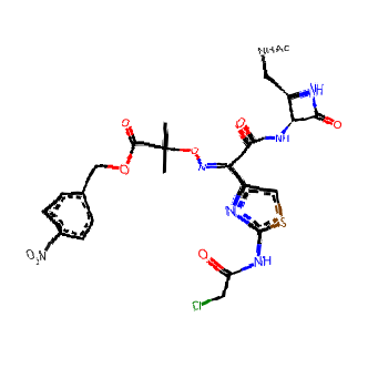 CC(=O)NC[C@H]1NC(=O)[C@H]1NC(=O)C(=NOC(C)(C)C(=O)OCc1ccc([N+](=O)[O-])cc1)c1csc(NC(=O)CCl)n1